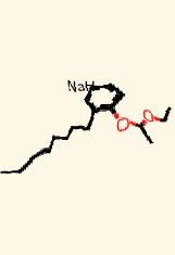 CCCCCCCCc1ccccc1OC(C)OCC.[NaH]